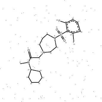 CN(C(=O)CN1CCCN(S(=O)(=O)c2c(F)cccc2F)CC1)C1CCCCC1